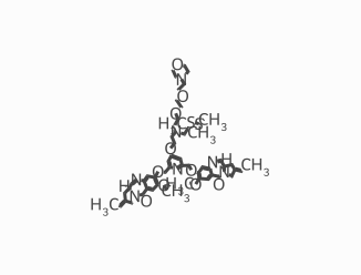 C/C=C1\C[C@H]2C=Nc3cc(OCc4cc(OCCN(CCOCCOCCN5CCOCC5)CC(C)(C)SSC)cc(COc5cc6c(cc5OC)C(=O)N5C/C(=C/C)C[C@H]5C=N6)n4)c(OC)cc3C(=O)N2C1